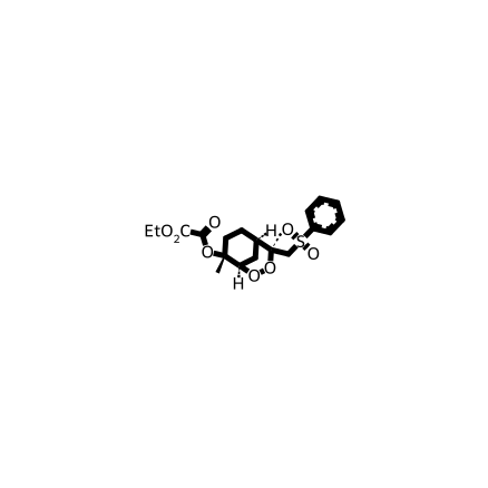 CCOC(=O)C(=O)O[C@]1(C)CC[C@@H]2C[C@H]1OO[C@]2(C)CS(=O)(=O)c1ccccc1